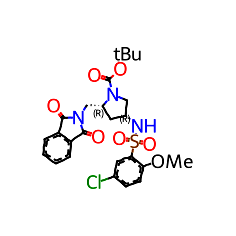 COc1ccc(Cl)cc1S(=O)(=O)N[C@@H]1C[C@H](CN2C(=O)c3ccccc3C2=O)N(C(=O)OC(C)(C)C)C1